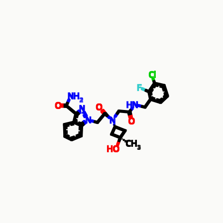 C[C@]1(O)C[C@H](N(CC(=O)NCc2cccc(Cl)c2F)C(=O)Cn2nc(C(N)=O)c3ccccc32)C1